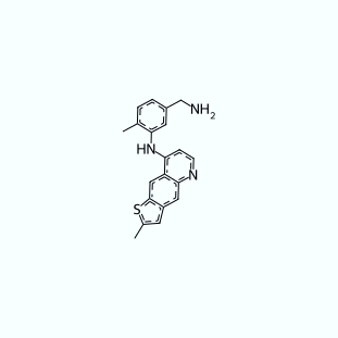 Cc1cc2cc3nccc(Nc4cc(CN)ccc4C)c3cc2s1